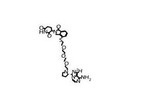 [2H]c1nc([C@@H]2CCCN2CCOCCOCCOCCSc2cccc3c2CN(C2CCC(=O)NC2=O)C3=O)n2ccnc(N)c12